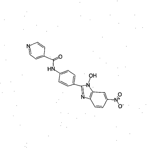 O=C(Nc1ccc(-c2nc3ccc([N+](=O)[O-])cc3n2O)cc1)c1ccncc1